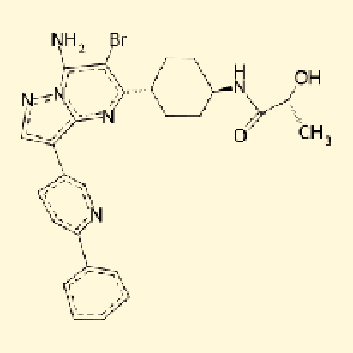 C[C@@H](O)C(=O)N[C@H]1CC[C@H](c2nc3c(-c4ccc(-c5ccccc5)nc4)cnn3c(N)c2Br)CC1